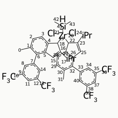 Cc1ccc2c(c1-c1cc(C(F)(F)F)cc(C(F)(F)F)c1)C=C(C(C)C)[CH]2[Zr]([Cl])([Cl])([CH]1C(C(C)C)=Cc2c1ccc(C)c2-c1cc(C(F)(F)F)cc(C(F)(F)F)c1)[SiH](C)C